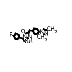 Cc1cn(-c2ccc(/C=C3\N=C4NCC(c5ccc(F)cc5)N4C3=O)cc2C)cn1